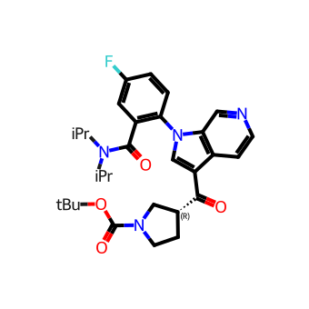 CC(C)N(C(=O)c1cc(F)ccc1-n1cc(C(=O)[C@@H]2CCN(C(=O)OC(C)(C)C)C2)c2ccncc21)C(C)C